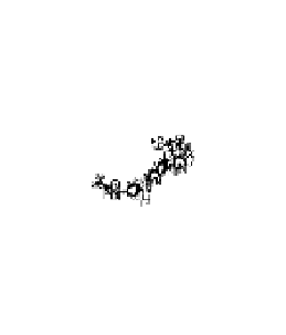 CC(C)(C)OC(=O)N1CCOc2ncc(N3CCc4cnc(Nc5ccc(-c6nnc(C7CC7)o6)cc5)nc4C3)c(Cl)c21